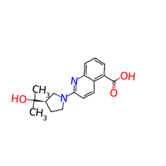 CC(C)(O)[C@@H]1CCN(c2ccc3c(C(=O)O)cccc3n2)C1